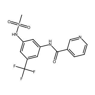 CS(=O)(=O)Nc1cc(NC(=O)c2cccnc2)cc(C(F)(F)F)c1